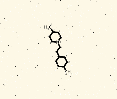 CC1CCC(CCN2CCC(C)CC2)CC1